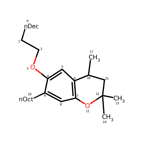 CCCCCCCCCCCCOc1cc2c(cc1CCCCCCCC)OC(C)(C)CC2C